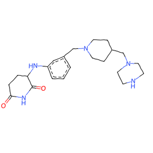 O=C1CCC(Nc2cccc(CN3CCC(CN4CCNCC4)CC3)c2)C(=O)N1